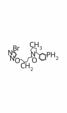 C=C(CCC(=O)N1CC(C)CC1c1cccc(P)c1)COc1cc(Br)ncn1